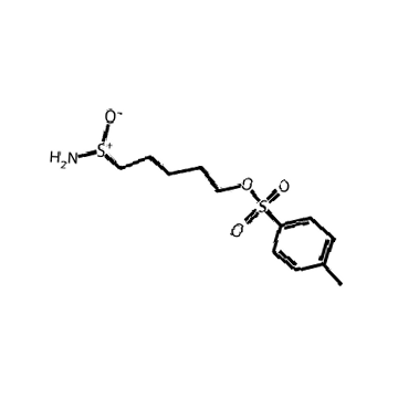 Cc1ccc(S(=O)(=O)OCCCCC[S+](N)[O-])cc1